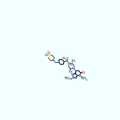 CC[C@H]1CN(C(C)c2ccc(CN3CCS(=O)(=O)CC3)cc2)[C@H](CC)CN1c1cc(=O)n(C)c2cn(CC#N)nc12